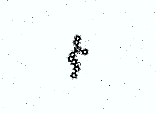 c1ccc(-c2ccc3oc4cc5c(ccc6ccc(-c7nc(-c8ccccc8)nc(-c8ccc9ccccc9c8)n7)cc65)cc4c3c2)cc1